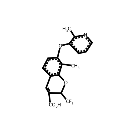 Cc1ncccc1Oc1ccc2c(c1C)OC(C(F)(F)F)C(C(=O)O)=C2